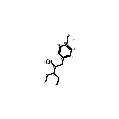 CCC(CC)C(N)Cc1ccc(P)cc1